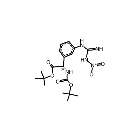 CC(C)(C)OC(=O)N[C@H](C(=O)OC(C)(C)C)c1cccc(NC(=N)N[N+](=O)[O-])c1